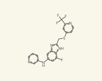 Fc1cc(Nc2cccnc2)cc2nc(CSc3ccnc(C(F)(F)F)c3)[nH]c12